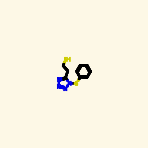 SCCc1nnnn1Sc1ccccc1